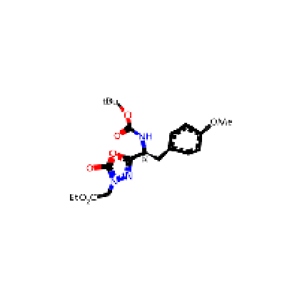 CCOC(=O)Cn1nc([C@H](Cc2ccc(OC)cc2)NC(=O)OC(C)(C)C)oc1=O